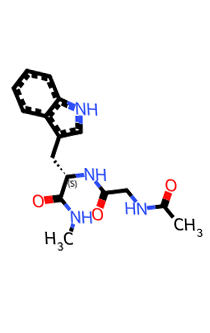 CNC(=O)[C@H](Cc1c[nH]c2ccccc12)NC(=O)CNC(C)=O